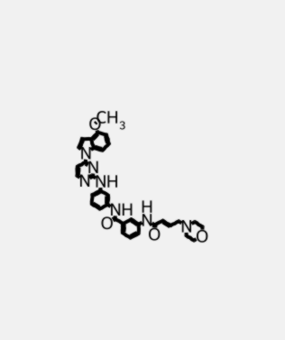 COc1cccc2c1ccn2-c1ccnc(Nc2cccc(NC(=O)c3cccc(NC(=O)C=CCN4CCOCC4)c3)c2)n1